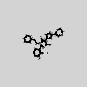 Cc1nc(-c2cccc(F)c2O)n(CCc2ccccc2)c(=O)c1-c1ccc(-c2cnccn2)s1